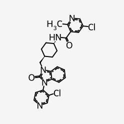 Cc1ncc(Cl)cc1C(=O)N[C@H]1CC[C@H](Cn2c(=O)n(-c3ccncc3Cl)c3ccccc32)CC1